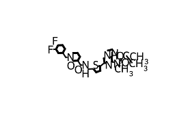 CN(C(=O)OC(C)(C)C)c1nc(-c2ccc(CNC(=O)c3cccn(Cc4ccc(F)c(F)c4)c3=O)s2)cn2ccnc12